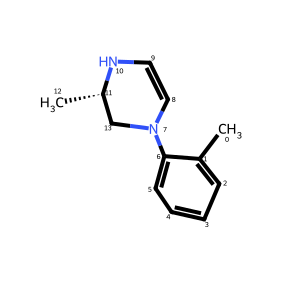 Cc1ccccc1N1C=CN[C@@H](C)C1